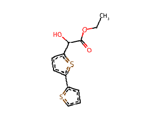 CCOC(=O)C(O)c1ccc(-c2cccs2)s1